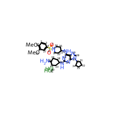 COc1ccc(S(=O)(=O)N2CCC(Nc3nc(NC4CCC(N)CC4)nc4c3ncn4C3CCCC3)CC2)cc1OC.Cl.Cl